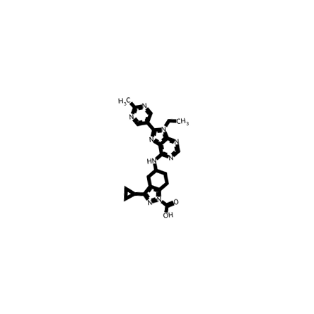 CCn1c(-c2cnc(C)nc2)nc2c(NC3CCc4c(c(C5CC5)nn4C(=O)O)C3)ncnc21